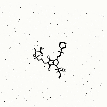 C=CC(C)(CC)C(C)(C)C1CC(/C=C/C(C)(C)c2ccccc2)C2C(=O)N(CCCC(C)(C)OC(C)C(=O)CC)C(=O)C21